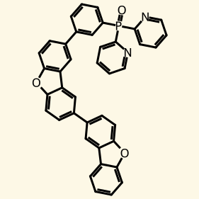 O=P(c1cccc(-c2ccc3oc4ccc(-c5ccc6oc7ccccc7c6c5)cc4c3c2)c1)(c1ccccn1)c1ccccn1